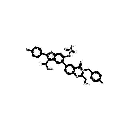 CCS(=O)(=O)Nc1cc2oc(-c3ccc(F)cc3)c(C(=O)NC)c2cc1-c1ccc2nc(COC)n(Cc3ccc(F)cc3)c(=O)c2c1